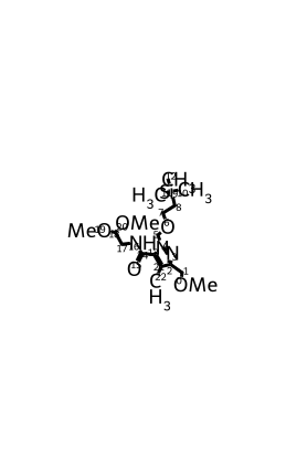 COCc1nn(COCC[Si](C)(C)C)c(C(=O)NCC(OC)OC)c1C